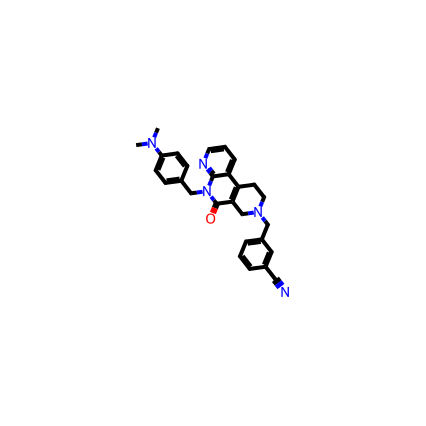 CN(C)c1ccc(Cn2c(=O)c3c(c4cccnc42)CCN(Cc2cccc(C#N)c2)C3)cc1